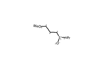 CCC[S+]([O-])CCCOC